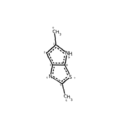 Cc1cc2nc(C)sc2[nH]1